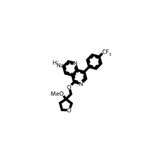 COC1(COc2ncc(-c3ccc(C(F)(F)F)cc3)c3ncccc23)CCOC1.[H-].[Na+]